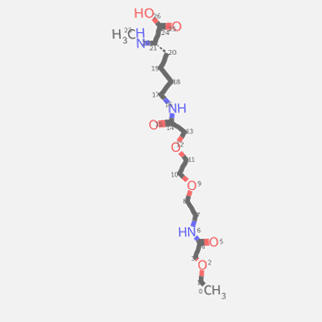 CCOCC(=O)NCCOCCOCC(=O)NCCCC[C@H](NC)C(=O)O